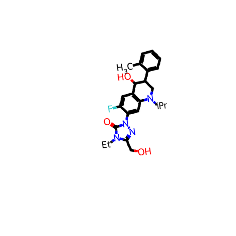 CCn1c(CO)nn(-c2cc3c(cc2F)C(O)C(c2ccccc2C)CN3C(C)C)c1=O